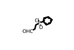 O=[C]CCP(=O)(Cl)c1ccccc1